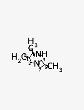 C=C(CN1CC(C)C1)C(C)=N